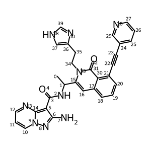 CC(NC(=O)c1c(N)nn2cccnc12)c1cc2cccc(C#Cc3cccnc3)c2c(=O)n1CCc1c[nH]cn1